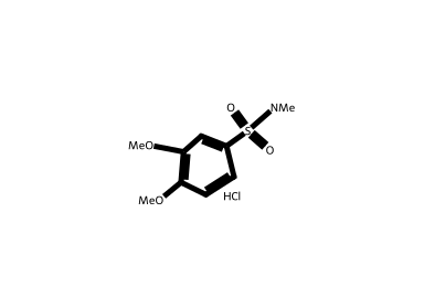 CNS(=O)(=O)c1ccc(OC)c(OC)c1.Cl